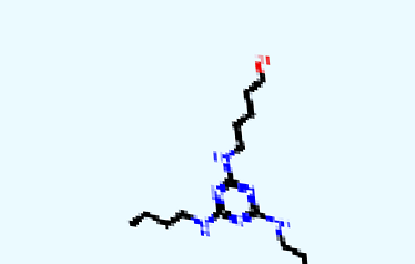 CCCCNc1nc(NCCCC)nc(NCCCCCO)n1